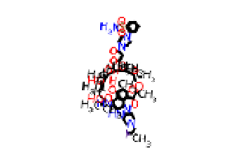 CO[C@H]1/C=C/O[C@@]2(C)Oc3c(C)c(O)c4c(c3C2=O)C2=NC3(CCN(CC(C)I)CC3)NC2=C(NC(O)(C(C)C)C[C@H](C)[C@H](O)[C@@H](C)[C@@H](O)[C@@H](C)[C@H](OC(=O)CC(=O)N2CCN(c3ccccc3S(N)(=O)=O)CC2)[C@@H]1C)C4=O